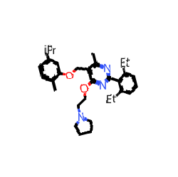 CCc1cccc(CC)c1-c1nc(C)c(COc2cc(C(C)C)ccc2C)c(OCCN2CCCC2)n1